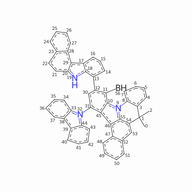 CC1(C)c2cccc3c2-n2c4c(c(-c5cccc6c5[nH]c5ccc7ccccc7c56)cc(-n5c6ccccc6c6ccccc65)c4c4c5ccccc5cc1c42)B3